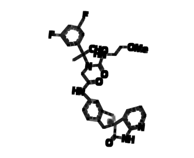 COCCNC(=O)N(CC(=O)Nc1ccc2c(c1)C[C@@]1(C2)C(=O)Nc2ncccc21)C(C)(C=O)c1cc(F)cc(F)c1